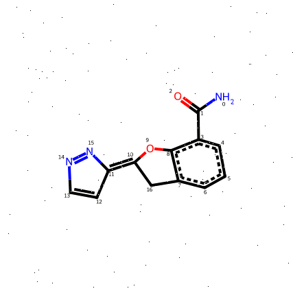 NC(=O)c1cccc2c1O/C(=C1/C=CN=N1)C2